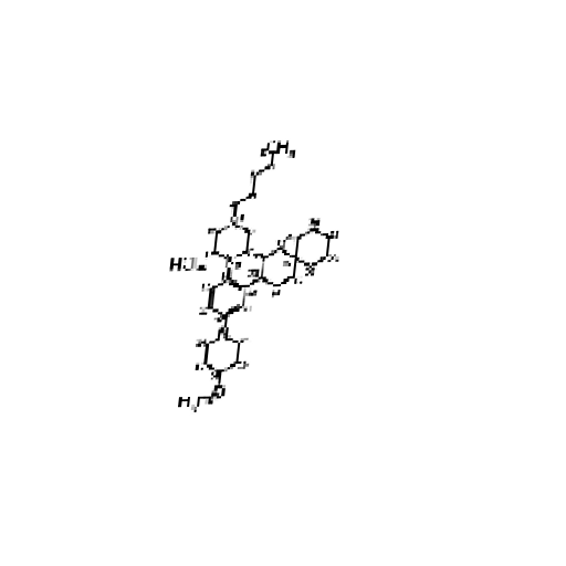 CCCCCN1CCN(c2ccc(N3CCC(OC)CC3)cc2C2CCC3(CCCCC3)CC2)CC1.Cl